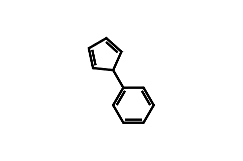 [C]1=CC=CC1c1ccccc1